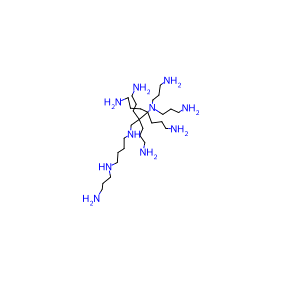 NCCCNCCCCNCC(CCCN)(CCCN)C(CCCN)(CCCN)N(CCCN)CCCN